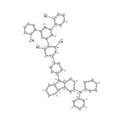 N#Cc1ccccc1-c1cc(-c2c(C#N)cc(-c3ccc(-n4c5ccccc5c5cc(N(c6ccccc6)c6ccccc6)ccc54)cc3)cc2C#N)nc(-c2ccccc2C#N)n1